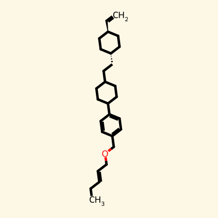 C=C[C@H]1CC[C@H](CCC2CCC(c3ccc(COCC=CCC)cc3)CC2)CC1